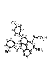 NC(=O)c1cccc2c1c1c(OCC(=O)O)cc(-c3ccc(Cl)cc3)cc1n2Cc1ccccc1Br